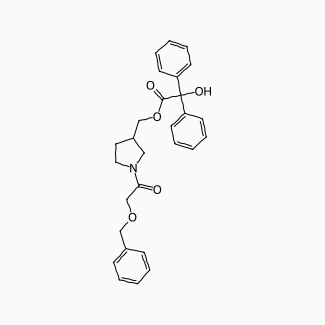 O=C(COCc1ccccc1)N1CCC(COC(=O)C(O)(c2ccccc2)c2ccccc2)C1